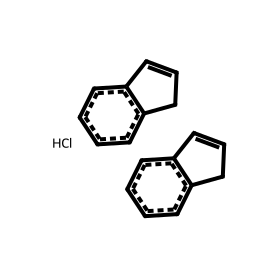 C1=Cc2ccccc2C1.C1=Cc2ccccc2C1.Cl